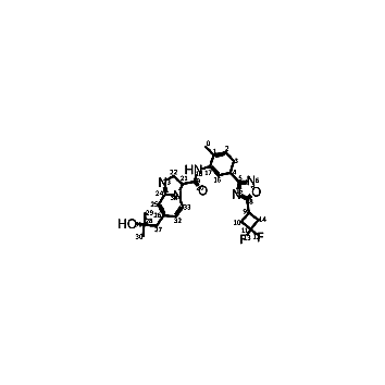 CC1=CCC(c2noc(C3CC(F)(F)C3)n2)C=C1NC(=O)C1CN=C2C=C(CC(C)(C)O)C=CN21